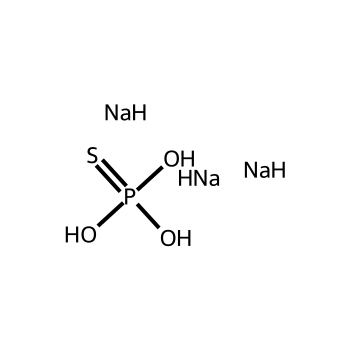 OP(O)(O)=S.[NaH].[NaH].[NaH]